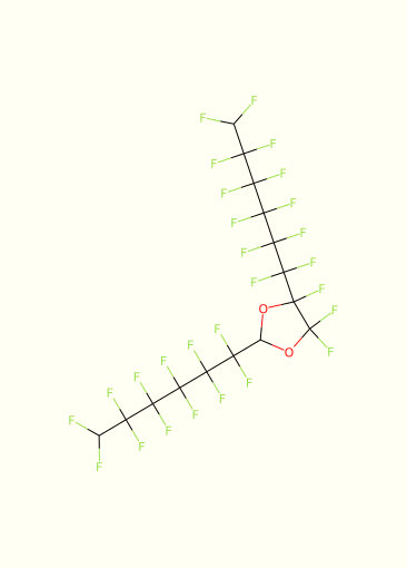 FC(F)C(F)(F)C(F)(F)C(F)(F)C(F)(F)C(F)(F)C1OC(F)(F)C(F)(C(F)(F)C(F)(F)C(F)(F)C(F)(F)C(F)(F)C(F)F)O1